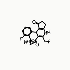 COC(=O)C1=C(CF)NC2=C(C(=O)CC2)C1c1cccc(F)c1C1CC1